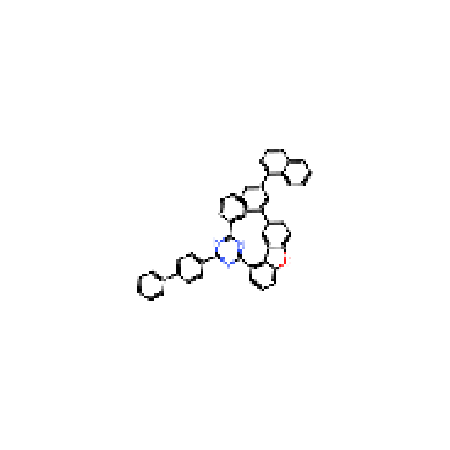 c1ccc(-c2ccc(-c3nc(-c4ccccc4)nc(-c4cccc5oc6ccc(-c7cccc(-c8cccc9ccccc89)c7)cc6c45)n3)cc2)cc1